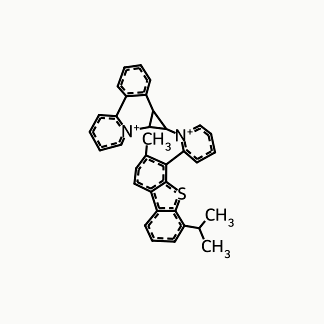 Cc1ccc2c(sc3c(C(C)C)cccc32)c1-c1cccc[n+]1C1C2c3ccccc3-c3cccc[n+]3C21